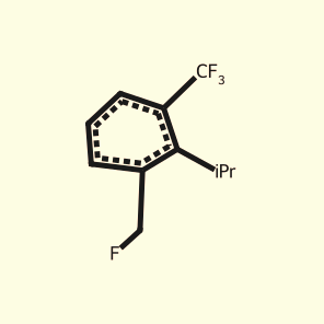 CC(C)c1c(CF)cccc1C(F)(F)F